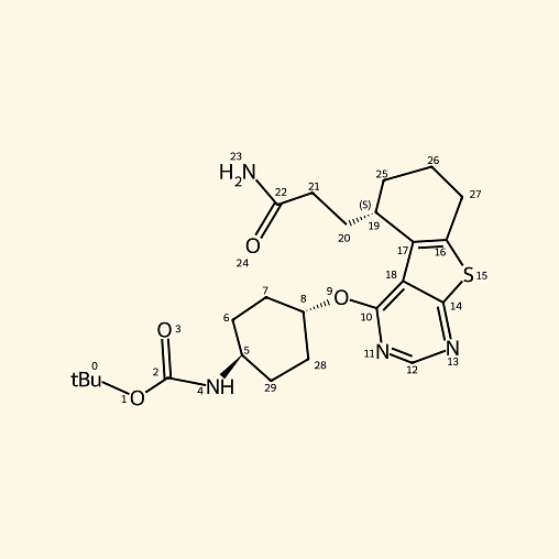 CC(C)(C)OC(=O)N[C@H]1CC[C@H](Oc2ncnc3sc4c(c23)[C@H](CCC(N)=O)CCC4)CC1